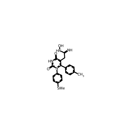 CSc1ccc(-n2c(-c3ccc(C)cc3)c(CC(=N)NO)c(=O)[nH]c2=O)cc1